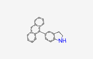 c1ccc2c(-c3ccc4c(c3)CCN4)c3ccccc3cc2c1